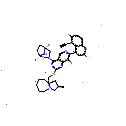 C#Cc1c(F)ccc2cc(O)cc(-c3ncc4c(N5C[C@H]6CC[C@@H](C5)N6)nc(OCC56CCCCCN5CC(=C)C6)nc4c3F)c12